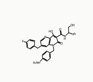 CCCC(CO)NC(=O)c1c(O)c2ncc(Cc3ccc(F)cc3)cc2n(Cc2ccc(NC(C)=O)cc2)c1=O